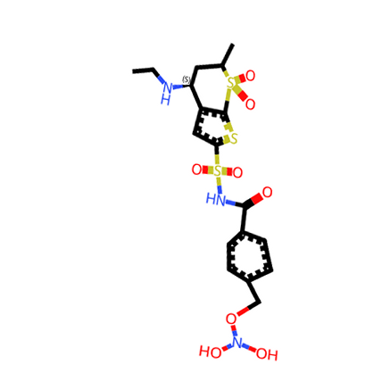 CCN[C@H]1CC(C)S(=O)(=O)c2sc(S(=O)(=O)NC(=O)c3ccc(CON(O)O)cc3)cc21